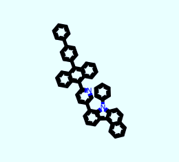 c1ccc(-c2ccc(-c3c4ccccc4c(-c4ccc(-c5cccc6c7c8ccccc8ccc7n(-c7ccccc7)c56)cn4)c4ccccc34)cc2)cc1